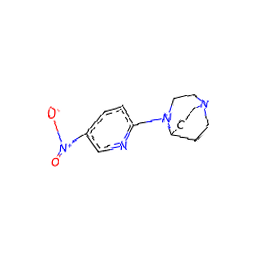 O=[N+]([O-])c1ccc(N2CCN3CCC2CC3)nc1